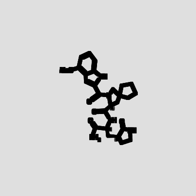 COc1cccc2[nH]c(C(=O)N3CC4(CCCC4)C[C@H]3C(=O)N[C@@H](C[C@@H]3CCNC3=O)C(N)=O)cc12